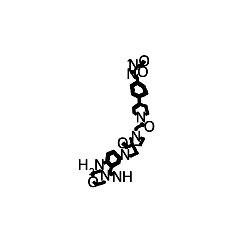 Cn1nc(-c2ccc(C3=CCN(C(=O)CN4CC[C@]5(CCN(c6ccc(N)c(C(=N)N7CCOCC7)c6)C5=O)C4)CC3)cc2)oc1=O